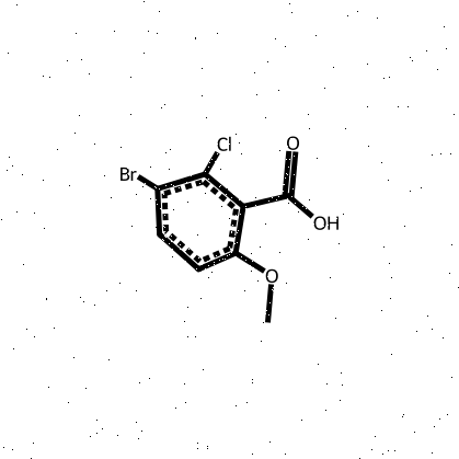 COc1ccc(Br)c(Cl)c1C(=O)O